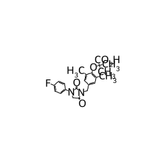 Cc1cc(CN2C(=O)CN(c3ccc(F)cc3)C2=O)cc(C)c1OC(C)(C)C(=O)O